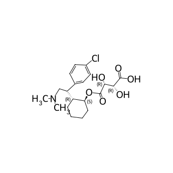 CN(C)CC(c1ccc(Cl)cc1)[C@H]1CCCC[C@@H]1OC(=O)[C@H](O)[C@@H](O)C(=O)O